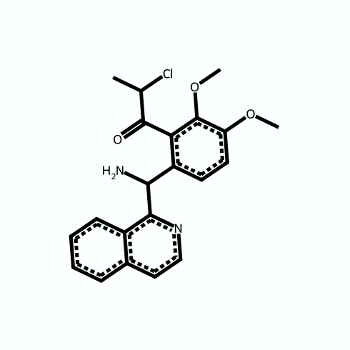 COc1ccc(C(N)c2nccc3ccccc23)c(C(=O)C(C)Cl)c1OC